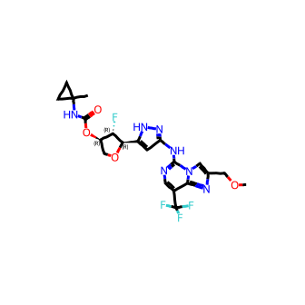 COCc1cn2c(Nc3cc([C@H]4OC[C@@H](OC(=O)NC5(C)CC5)[C@@H]4F)[nH]n3)ncc(C(F)(F)F)c2n1